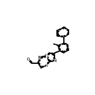 Cc1c(-c2ccccc2)cccc1-c1cn2nc(C=O)cnc2n1